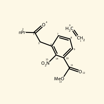 C=C.CCCC(=O)Cc1cccc(C(=O)OC)c1[N+](=O)[O-]